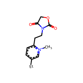 CCc1ccc(CCN2C(=O)COC2=O)[n+](C)c1